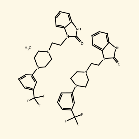 O.O=c1[nH]c2ccccc2n1CCN1CCN(c2cccc(C(F)(F)F)c2)CC1.O=c1[nH]c2ccccc2n1CCN1CCN(c2cccc(C(F)(F)F)c2)CC1